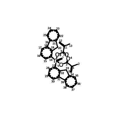 C=C(C)C(=O)[O][Ti](=[CH2])([O]C(=O)C(=C)C)([c]1cccc2c1Cc1ccccc1-2)[c]1cccc2c1Cc1ccccc1-2